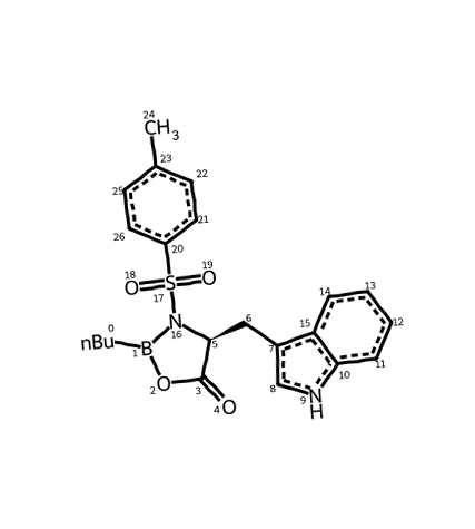 CCCCB1OC(=O)[C@H](Cc2c[nH]c3ccccc23)N1S(=O)(=O)c1ccc(C)cc1